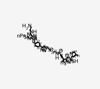 CCCSc1nc(NCCN)c2nnn(Cc3ccc(-c4cn(CCOCCNC(=O)C#Cc5c(C)sc6nc(S)n(-c7cc(C)ccn7)c(=O)c56)nn4)cc3)c2n1